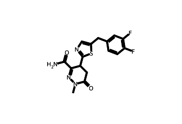 CN1N=C(C(N)=O)C(c2ncc(Cc3ccc(F)c(F)c3)s2)CC1=O